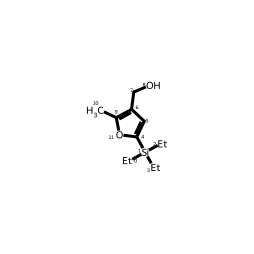 CC[Si](CC)(CC)c1cc(CO)c(C)o1